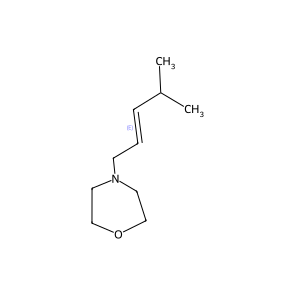 CC(C)/C=C/CN1CCOCC1